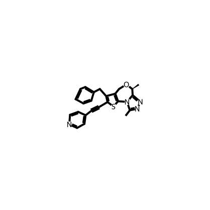 Cc1nnc2n1-c1sc(C#Cc3ccncc3)c(Cc3ccccc3)c1CO[C@H]2C